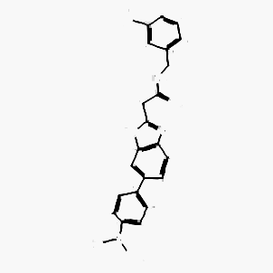 CN(C)c1ccc(-c2ccc3nc(CC(=O)NCc4cccc(C(=O)O)c4)sc3c2)cc1